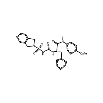 COc1ccc(N(C)C(=O)[C@H](Cc2ccccc2)NC(=O)NS(=O)(=O)N2Cc3ccncc3C2)cc1